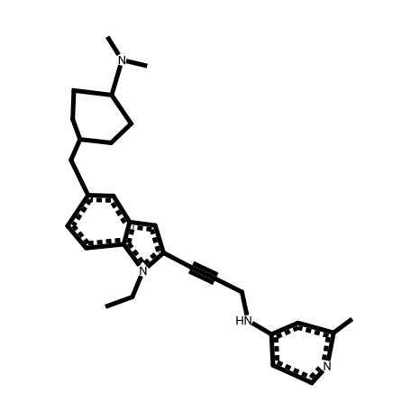 CCn1c(C#CCNc2ccnc(C)c2)cc2cc(CC3CCC(N(C)C)CC3)ccc21